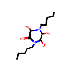 CCCCCN1C(O)C(O)N(CCCCC)C(O)C1O